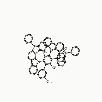 CC(C)(C)c1c(-c2cccc(C(F)(F)F)c2)c(-n2c3ccccc3c3ccc4c(c5ccccc5n4-c4ccccc4)c32)c(C(C)(C)C)c(-n2c3ccccc3c3ccc4c(c5ccccc5n4-c4ccccc4)c32)c1-c1cccc(C(F)(F)F)c1